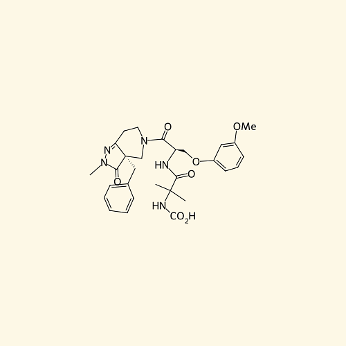 COc1cccc(OC[C@@H](NC(=O)C(C)(C)NC(=O)O)C(=O)N2CCC3=NN(C)C(=O)[C@]3(Cc3ccccc3)C2)c1